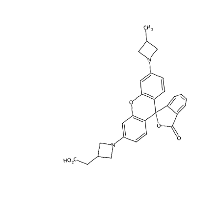 CC1CN(c2ccc3c(c2)Oc2cc(N4CC(CC(=O)O)C4)ccc2C32OC(=O)c3ccccc32)C1